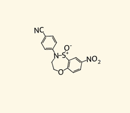 N#Cc1ccc(N2CCOc3ccc([N+](=O)[O-])cc3[S+]2[O-])cc1